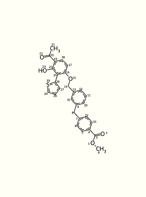 COC(=O)c1ccc(Cc2cccc(COc3ccc(C(C)=O)c(O)c3-c3cccs3)c2)cc1